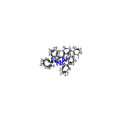 c1ccc(-c2cccc(-c3nc(-c4ccccc4-c4ccccc4)nc4c3c3ccccc3n4-c3ccccc3)c2)cc1